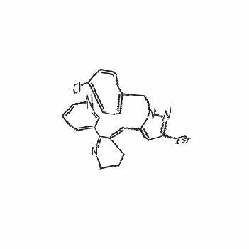 Clc1ccc(Cn2nc(Br)cc2C=C2CCCN=C2c2cccnc2)cc1